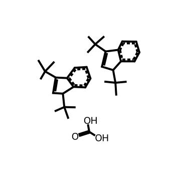 CC(C)(C)C1=CC(C(C)(C)C)c2ccccc21.CC(C)(C)C1=CC(C(C)(C)C)c2ccccc21.O=C(O)O